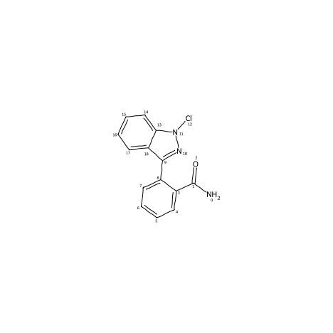 NC(=O)c1ccccc1-c1nn(Cl)c2ccccc12